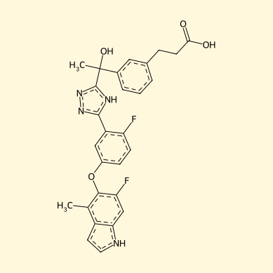 Cc1c(Oc2ccc(F)c(-c3nnc(C(C)(O)c4cccc(CCC(=O)O)c4)[nH]3)c2)c(F)cc2[nH]ccc12